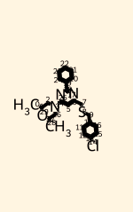 CC1CN(c2cc(CSCc3ccc(Cl)cc3)nc(-c3ccccc3)n2)CC(C)O1